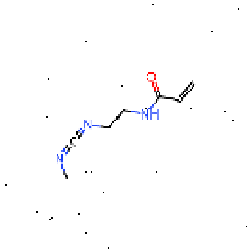 C=CC(=O)NCCN=C=NC